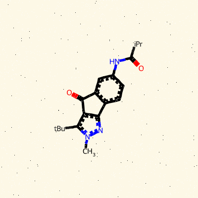 CC(C)C(=O)Nc1ccc2c(c1)C(=O)c1c-2nn(C)c1C(C)(C)C